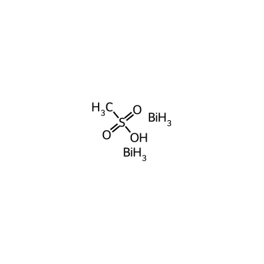 CS(=O)(=O)O.[BiH3].[BiH3]